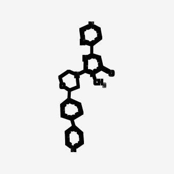 Cn1c(N2CCOC(c3ccc(-c4ccncc4)cc3)C2)nc(-c2ccncn2)cc1=O